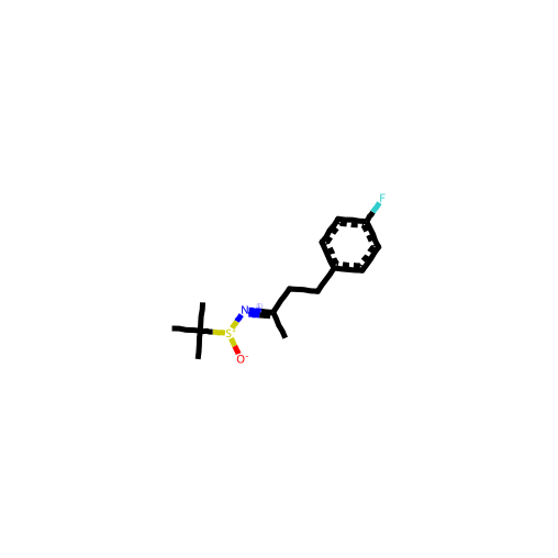 C/C(CCc1ccc(F)cc1)=N\[S+]([O-])C(C)(C)C